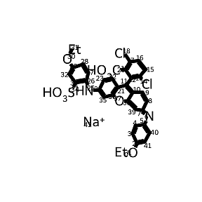 CCOc1ccc(N=c2ccc3c(-c4c(Cl)ccc(Cl)c4C(=O)O)c4ccc(Nc5ccc(OCC)cc5S(=O)(=O)O)cc4oc-3c2)cc1.[Na+]